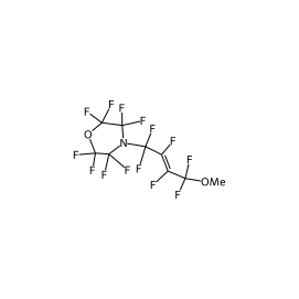 COC(F)(F)/C(F)=C(\F)C(F)(F)N1C(F)(F)C(F)(F)OC(F)(F)C1(F)F